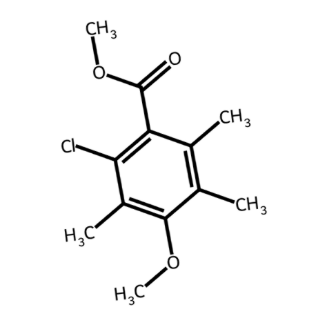 COC(=O)c1c(C)c(C)c(OC)c(C)c1Cl